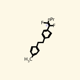 CCC/C(F)=C(\F)c1ccc(CCc2ccc(C)cc2)cc1